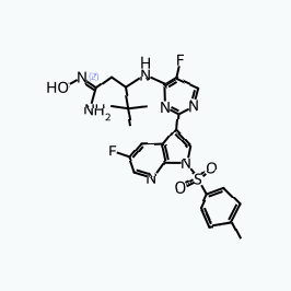 Cc1ccc(S(=O)(=O)n2cc(-c3ncc(F)c(NC(C/C(N)=N/O)C(C)(C)C)n3)c3cc(F)cnc32)cc1